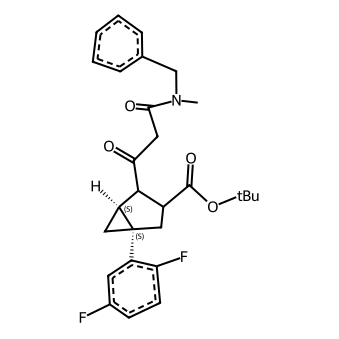 CN(Cc1ccccc1)C(=O)CC(=O)C1C(C(=O)OC(C)(C)C)C[C@@]2(c3cc(F)ccc3F)C[C@@H]12